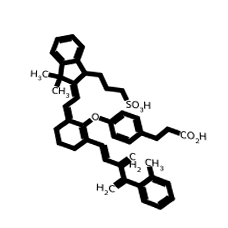 C=C(/C=C/C1=C(Oc2ccc(CCC(=O)O)cc2)C(=C\C=C2\C(CCCS(=O)(=O)O)c3ccccc3C2(C)C)/CCC1)C(=C)c1ccccc1C